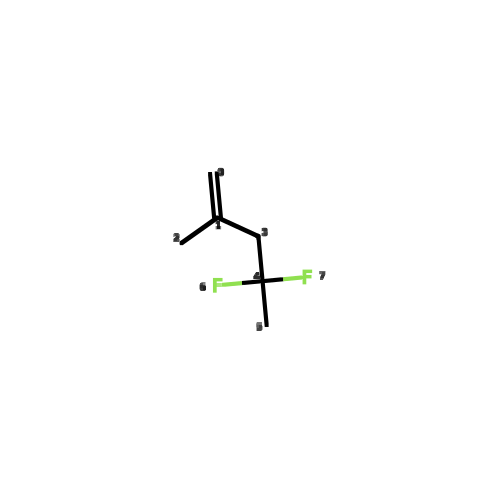 C=C(C)CC(C)(F)F